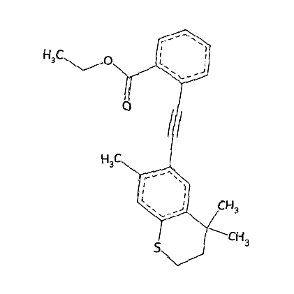 CCOC(=O)c1ccccc1C#Cc1cc2c(cc1C)SCCC2(C)C